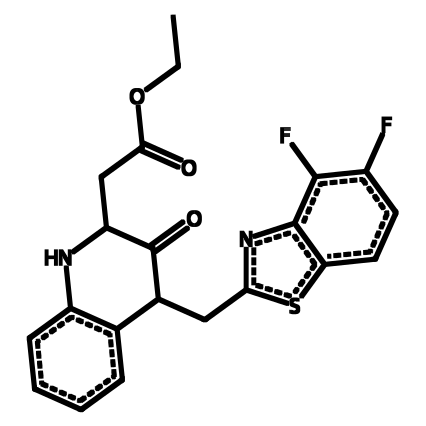 CCOC(=O)CC1Nc2ccccc2C(Cc2nc3c(F)c(F)ccc3s2)C1=O